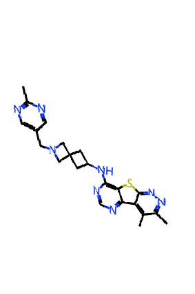 Cc1ncc(CN2CC3(CC(Nc4ncnc5c4sc4nnc(C)c(C)c45)C3)C2)cn1